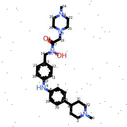 CN1CCC(c2ccc(Nc3ccc(CN(O)C(=O)CN4CCN(C)CC4)cc3)cc2)CC1